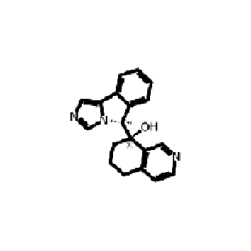 O[C@]1([C@H]2c3ccccc3-c3cncn32)CCCc2ccncc21